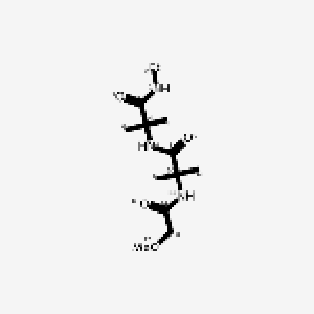 CCNC(=O)C(C)(C)NC(=O)C(C)(C)NC(=O)COC